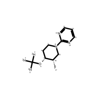 [2H]C([2H])([2H])O[C@@H]1CCN(c2ncccn2)C[C@@H]1F